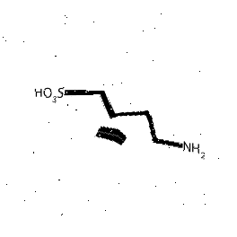 C=C.NCCCCS(=O)(=O)O